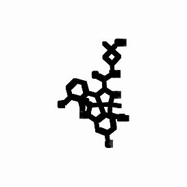 CC(C)(C)CC1(C)NC(C(=O)NC2CC(C)(O)C2)C(c2cccc(Cl)c2F)C12C(=O)Nc1cc(Cl)ccc12